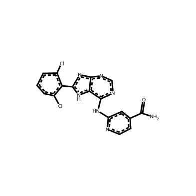 NC(=O)c1ccnc(Nc2ncnc3nc(-c4c(Cl)cccc4Cl)[nH]c23)c1